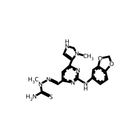 CN1CNC=C1c1cc(C=NN(C)C(N)=S)nc(Nc2ccc3c(c2)OCO3)n1